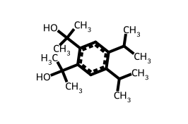 CC(C)c1cc(C(C)(C)O)c(C(C)(C)O)cc1C(C)C